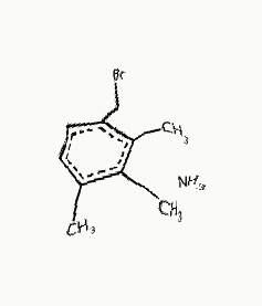 Cc1ccc(Br)c(C)c1C.N